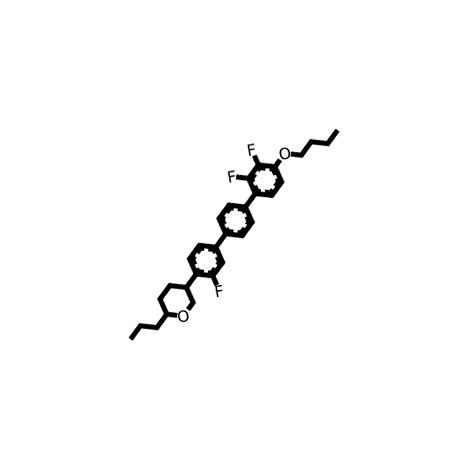 CCCCOc1ccc(-c2ccc(-c3ccc(C4CCC(CCC)OC4)c(F)c3)cc2)c(F)c1F